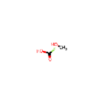 CO.O=C(O)F